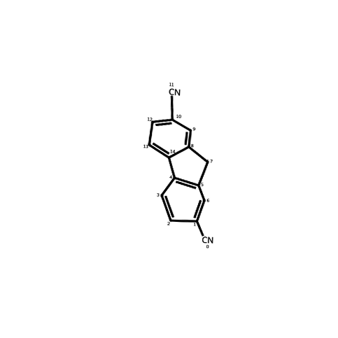 N#Cc1ccc2c(c1)[CH]c1cc(C#N)ccc1-2